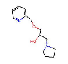 OC(COCc1ccccn1)CN1CCCC1